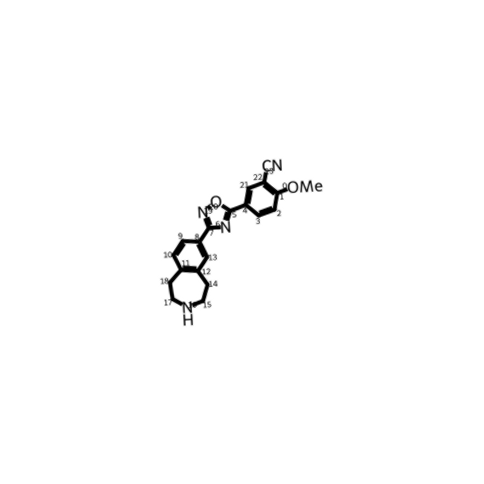 COc1ccc(-c2nc(-c3ccc4c(c3)CCNCC4)no2)cc1C#N